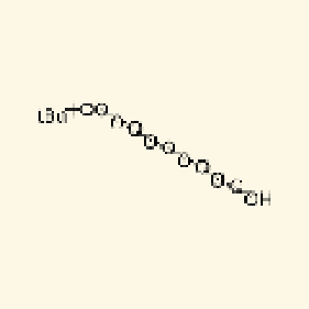 CC(C)(C)CC(C)(C)c1ccc(OCCOCCOCCOCCOCCOCCOCCOCCOCCO)cc1